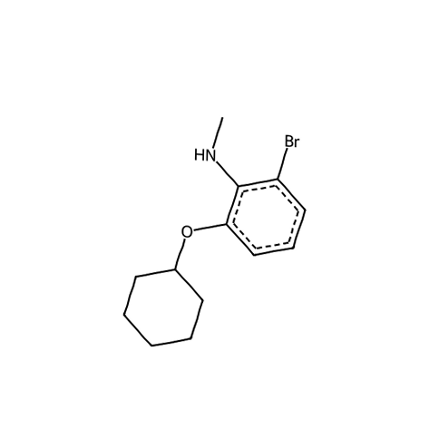 CNc1c(Br)cccc1OC1CCCCC1